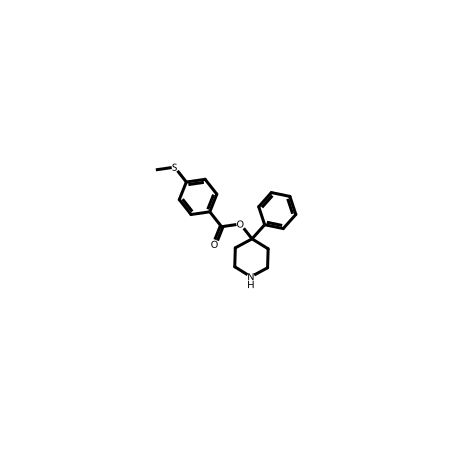 CSc1ccc(C(=O)OC2(c3ccccc3)CCNCC2)cc1